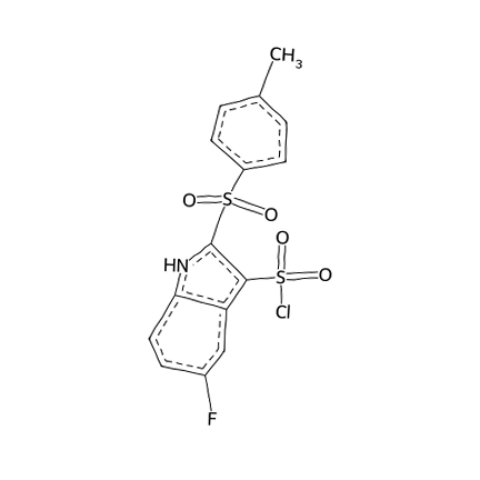 Cc1ccc(S(=O)(=O)c2[nH]c3ccc(F)cc3c2S(=O)(=O)Cl)cc1